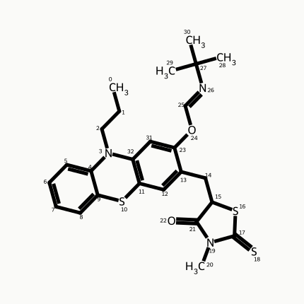 CCCN1c2ccccc2Sc2cc(CC3SC(=S)N(C)C3=O)c(OC=NC(C)(C)C)cc21